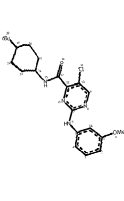 COc1cccc(Nc2ncc(Cl)c(C(=O)NC3CCC(C(C)(C)C)CC3)n2)c1